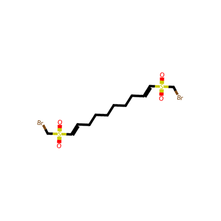 O=S(=O)(C=CCCCCCCC=CS(=O)(=O)CBr)CBr